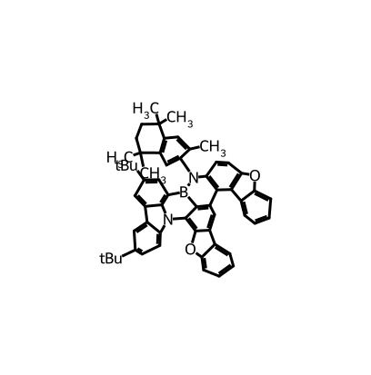 Cc1cc2c(cc1N1B3c4c(cc5c(oc6ccccc65)c4-n4c5ccc(C(C)(C)C)cc5c5cc(C(C)(C)C)cc3c54)-c3c1ccc1oc4ccccc4c31)C(C)(C)CCC2(C)C